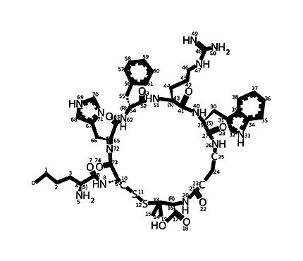 CCCC[C@H](N)C(=O)N[C@H]1CSSC(C)(C)[C@@H](C(=O)O)NC(=O)CCCNC(=O)[C@H](Cc2c[nH]c3ccccc23)NC(=O)[C@H](CCCNC(=N)N)NC(=O)[C@@H](Cc2ccccc2)NC(=O)[C@H](Cc2c[nH]cn2)NC1=O